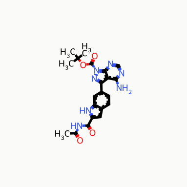 CC(=O)NC(=O)c1cc2ccc(-c3nn(C(=O)OC(C)(C)C)c4ncnc(N)c34)cc2[nH]1